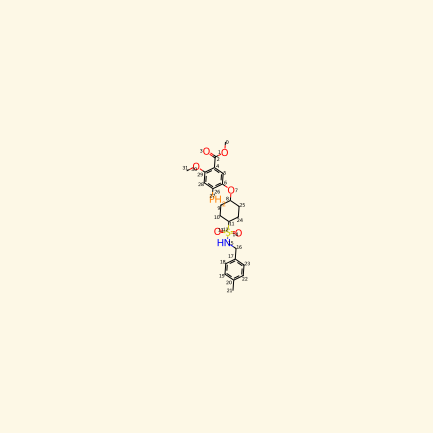 COC(=O)c1cc(OC2CCC(S(=O)(=O)NCc3ccc(C)cc3)CC2)c(P)cc1OC